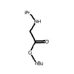 CCCCOC(=O)CNC(C)C